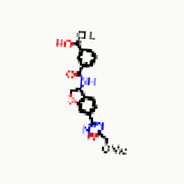 COCc1nc(-c2ccc3c(c2)OCC3NC(=O)c2cccc([C@H](C)O)c2)no1